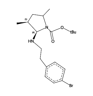 CC1C[C@H](C)[C@H](NCCc2ccc(Br)cc2)N1C(=O)OC(C)(C)C